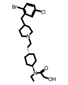 CCN(C(=O)CO)[C@H]1CC[C@H](CCN2CCC(Cc3cc(Cl)ccc3Br)CC2)CC1